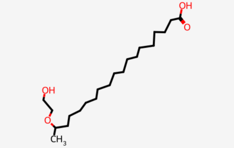 CC(CCCCCCCCCCCCCCCCC(=O)O)OCCO